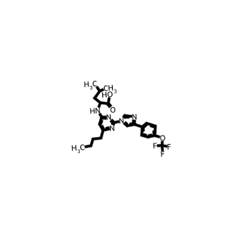 CCCCc1cc(NC(CC(C)C)C(=O)O)nc(-n2cnc(-c3ccc(OC(F)(F)F)cc3)c2)n1